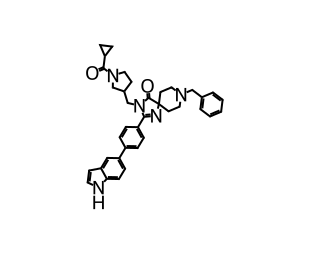 O=C(C1CC1)N1CCC(CN2C(=O)C3(CCN(Cc4ccccc4)CC3)N=C2c2ccc(-c3ccc4[nH]ccc4c3)cc2)C1